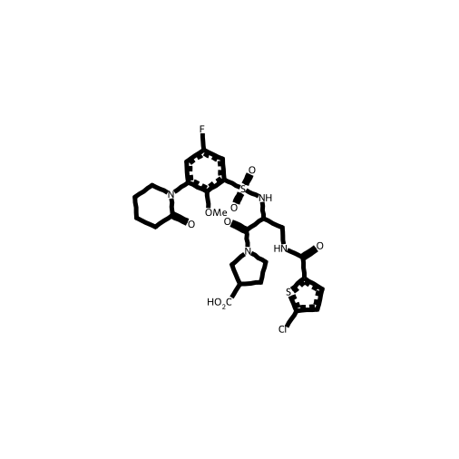 COc1c(N2CCCCC2=O)cc(F)cc1S(=O)(=O)NC(CNC(=O)c1ccc(Cl)s1)C(=O)N1CCC(C(=O)O)C1